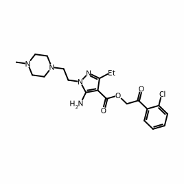 CCc1nn(CCN2CCN(C)CC2)c(N)c1C(=O)OCC(=O)c1ccccc1Cl